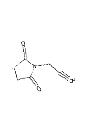 C#CCN1C(=O)[CH]CC1=O